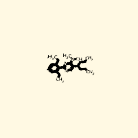 CCCC(CCC)c1cnc(-c2c(CC)cccc2CC)nc1N(C)C